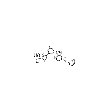 Cc1cc(Nc2nccc(OCc3cccnc3)n2)cc(-c2cnc(C3(O)CCC3)s2)c1